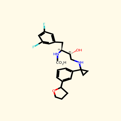 O=C(O)N[C@@H](Cc1cc(F)cc(F)c1)[C@H](O)CNC1(c2cccc(C3CCCO3)c2)CC1